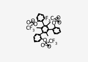 Cc1c(-c2ccccc2OS(=O)(=O)C(F)(F)F)c(C)c(-c2ccccc2OS(=O)(=O)C(F)(F)F)c(C)c1-c1ccccc1OS(=O)(=O)C(F)(F)F